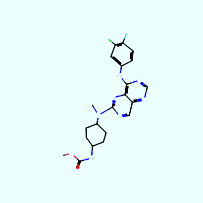 CN(c1ncc2ncnc(Nc3ccc(F)c(Cl)c3)c2n1)C1CCC(NC(=O)OC(C)(C)C)CC1